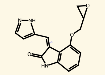 O=C1Nc2cccc(OCC3CO3)c2/C1=C/c1ccn[nH]1